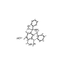 CCOC(N)(c1ccccc1)c1c(C)c(C)c(CC(C)C)c(CC(C)C)c1Oc1ccccc1.Cl